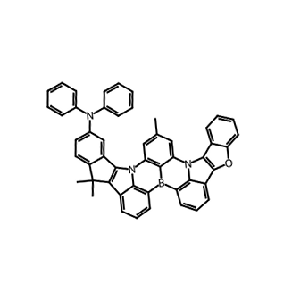 Cc1cc2c3c(c1)-n1c4c(cccc4c4oc5ccccc5c41)B3c1cccc3c4c(n-2c13)-c1cc(N(c2ccccc2)c2ccccc2)ccc1C4(C)C